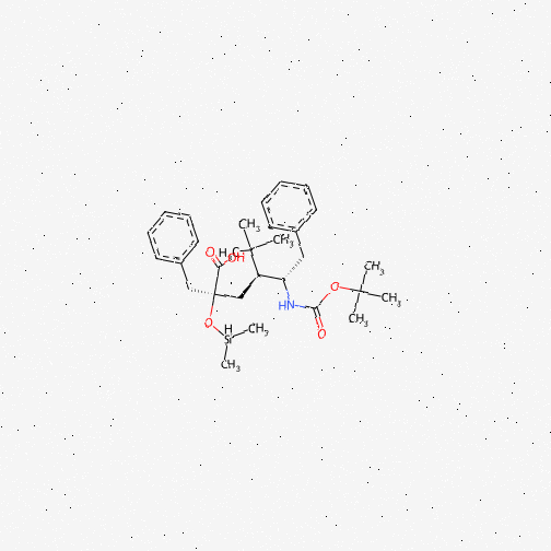 C[SiH](C)O[C@](Cc1ccccc1)(C[C@H]([C@H](Cc1ccccc1)NC(=O)OC(C)(C)C)C(C)(C)C)C(=O)O